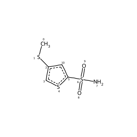 CSc1csc(S(N)(=O)=O)c1